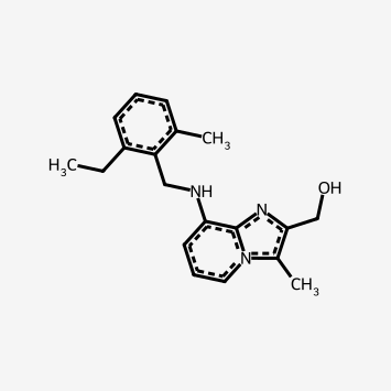 CCc1cccc(C)c1CNc1cccn2c(C)c(CO)nc12